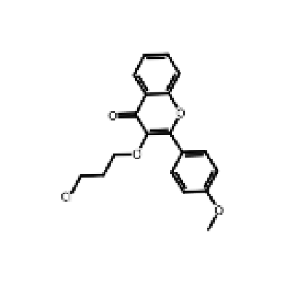 COc1ccc(-c2oc3ccccc3c(=O)c2OCCCCl)cc1